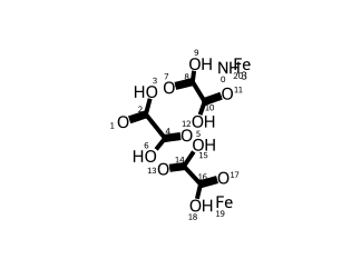 N.O=C(O)C(=O)O.O=C(O)C(=O)O.O=C(O)C(=O)O.[Fe].[Fe]